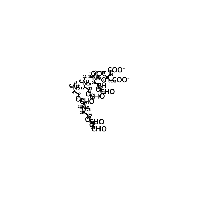 C[N+](C)(C)CCOC=O.C[N+](C)(C)CCOC=O.C[N+](C)(C)CCOC=O.C[N+](C)(C)CCOC=O.O=C([O-])CC(O)(CC(=O)[O-])C(=O)[O-].O=C[O-]